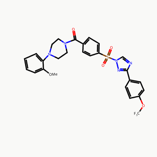 COc1ccccc1N1CCN(C(=O)c2ccc(S(=O)(=O)n3cnc(-c4ccc(OC(F)(F)F)cc4)n3)cc2)CC1